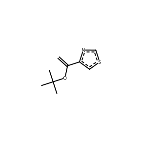 C=C(OC(C)(C)C)c1cscn1